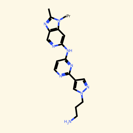 Cc1nc2cnc(Nc3ccnc(-c4cnn(CCCN)c4)n3)cc2n1C(C)C